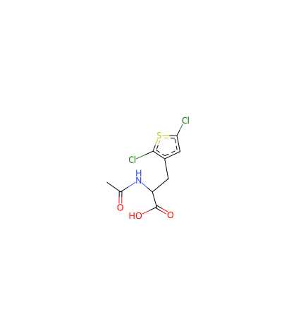 CC(=O)NC(Cc1cc(Cl)sc1Cl)C(=O)O